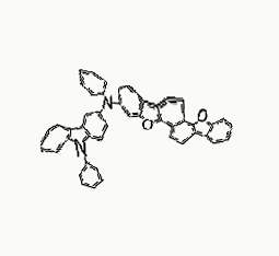 c1ccc(N(c2ccc3c(c2)oc2c3ccc3c2ccc2c4ccccc4oc23)c2ccc3c(c2)c2ccccc2n3-c2ccccc2)cc1